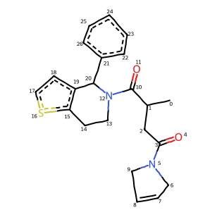 CC(CC(=O)N1CC=CC1)C(=O)N1CCc2sccc2C1c1ccccc1